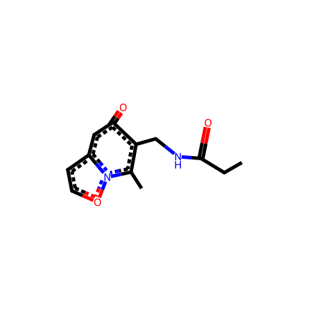 CCC(=O)NCc1c(C)n2occc2cc1=O